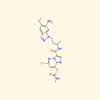 CNC(=O)Oc1cc(Cl)nn2c(C(=O)NC(C)CCn3ncc4cc(OC)c(N)cc43)cnc12